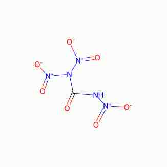 O=C(N[N+](=O)[O-])N([N+](=O)[O-])[N+](=O)[O-]